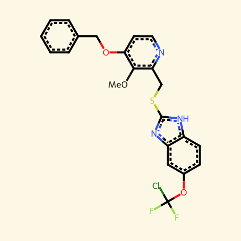 COc1c(OCc2ccccc2)ccnc1CSc1nc2cc(OC(F)(F)Cl)ccc2[nH]1